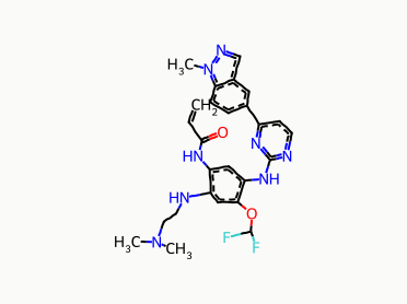 C=CC(=O)Nc1cc(Nc2nccc(-c3ccc4c(cnn4C)c3)n2)c(OC(F)F)cc1NCCN(C)C